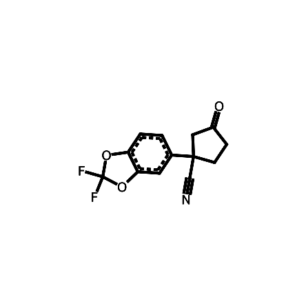 N#CC1(c2ccc3c(c2)OC(F)(F)O3)CCC(=O)C1